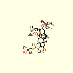 CCC(O)(CC)CCSC(C)[C@H]1C(=O)C[C@H]2C3=CC=C4CC(O[Si](C)(C)C(C)(C)C)CC(O[Si](C)(C)C(C)(C)C)[C@]4(C)[C@H]3CC[C@]12C